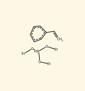 C=Cc1ccccc1.CCO[SiH](OCC)OCC